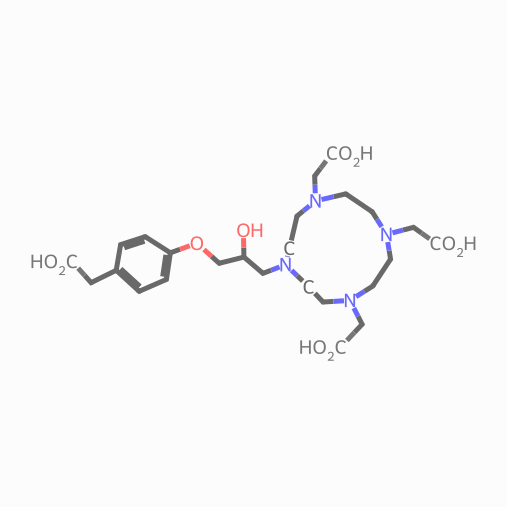 O=C(O)Cc1ccc(OCC(O)CN2CCN(CC(=O)O)CCN(CC(=O)O)CCN(CC(=O)O)CC2)cc1